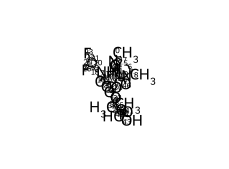 CC1=NO[C@@]2(CC[C@H](C)N3C[C@H]2n2cc(C(=O)NCc4ccc(F)cc4F)c(=O)c(OC(=O)OCC(C)(C)COP(=O)(O)O)c2C3=O)C1